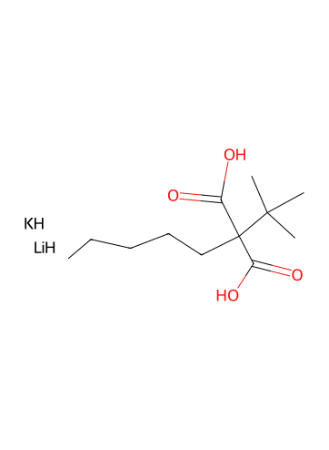 CCCCCC(C(=O)O)(C(=O)O)C(C)(C)C.[KH].[LiH]